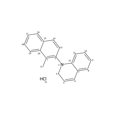 Cc1c(N2CC=Cc3ccccc32)ccc2ccccc12.Cl